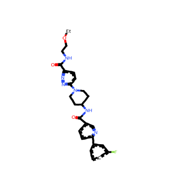 CCOCCNC(=O)c1ccc(N2CCC(NC(=O)c3ccc(-c4cccc(F)c4)nc3)CC2)nn1